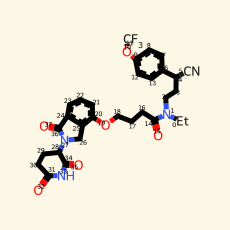 CCN(CCC(C#N)c1ccc(OC(F)(F)F)cc1)C(=O)CCCOc1cccc2c1CN(C1CCC(=O)NC1=O)C2=O